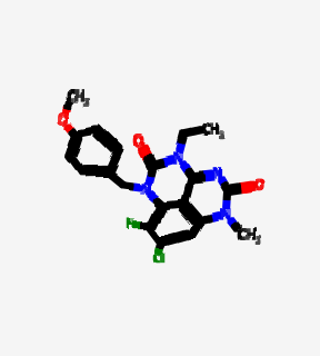 CCN1C(=O)N(Cc2ccc(OC)cc2)c2c(F)c(Cl)cc3c2c1nc(=O)n3C